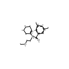 COCCN(C(=O)c1cc(C)cc(C)c1)C1=CCCCC1